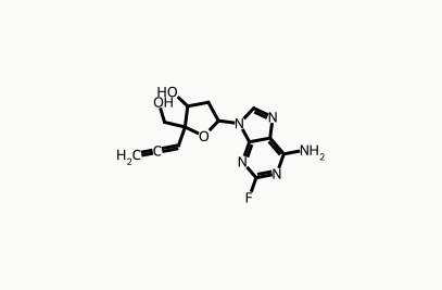 C=C=CC1(CO)OC(n2cnc3c(N)nc(F)nc32)CC1O